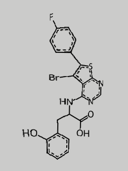 O=C(O)C(Cc1ccccc1O)Nc1ncnc2sc(-c3ccc(F)cc3)c(Br)c12